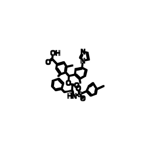 Cc1ccc(S(=O)(=O)N[C@@H](Cc2ccccc2)C(=O)OC(c2cc(-n3ccnc3)ccc2C)c2c(C)cc(C(=O)O)cc2C)cc1